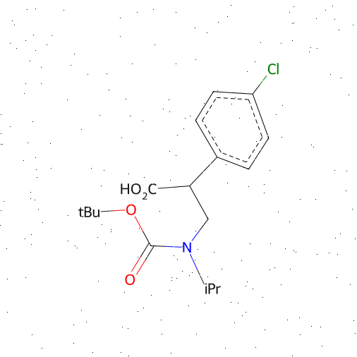 CC(C)N(CC(C(=O)O)c1ccc(Cl)cc1)C(=O)OC(C)(C)C